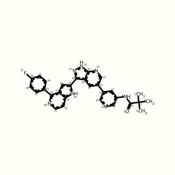 CC(C)(C)C(=O)Nc1cncc(-c2cnc3[nH]nc(-c4cc5c(-c6ccc(F)cc6)nccc5[nH]4)c3c2)c1